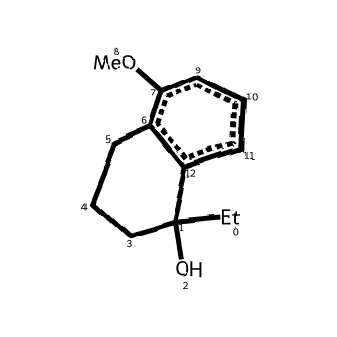 CCC1(O)CCCc2c(OC)cccc21